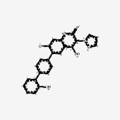 O=c1[nH]c2cc(Cl)c(-c3ccc(-c4ccccc4O)cc3)cc2c(O)c1-n1cccn1